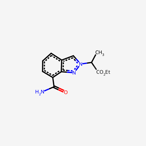 CCOC(=O)C(C)n1cc2cccc(C(N)=O)c2n1